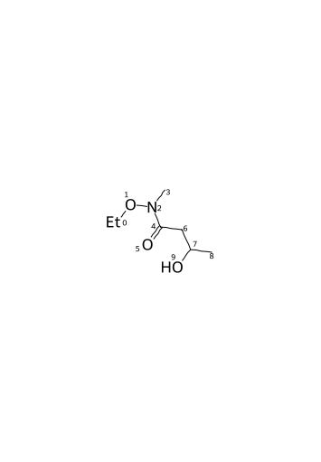 CCON(C)C(=O)CC(C)O